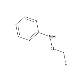 FCO[SiH]c1ccccc1